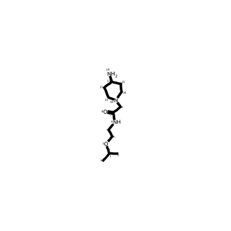 CC(C)OCCNC(=O)CN1CCC(N)CC1